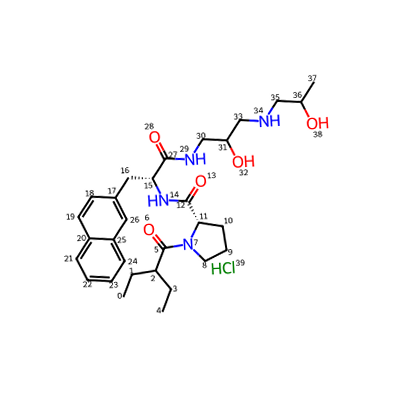 CCC(CC)C(=O)N1CCC[C@H]1C(=O)N[C@H](Cc1ccc2ccccc2c1)C(=O)NCC(O)CNCC(C)O.Cl